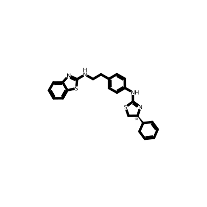 C1=CCC([C@H]2CSC(Nc3ccc(CCNc4nc5ccccc5s4)cc3)=N2)C=C1